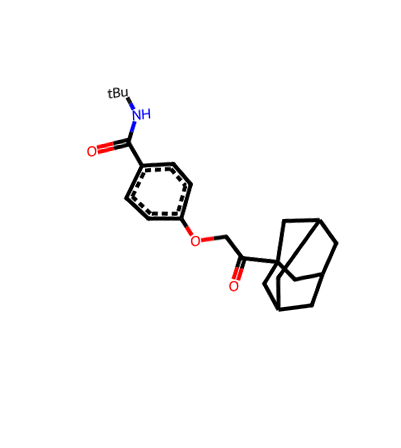 CC(C)(C)NC(=O)c1ccc(OCC(=O)C23CC4CC(CC(C4)C2)C3)cc1